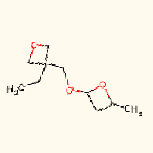 CCC1(COC2CC(C)O2)COC1